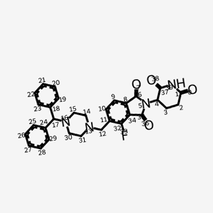 O=C1CCC(N2C(=O)c3ccc(CN4CCN(C(c5ccccc5)c5ccccc5)CC4)c(F)c3C2=O)C(=O)N1